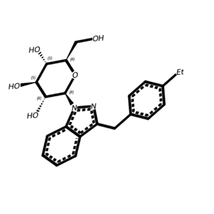 CCc1ccc(Cc2nn([C@@H]3O[C@H](CO)[C@@H](O)[C@H](O)[C@H]3O)c3ccccc23)cc1